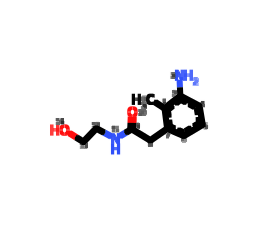 Cc1c(N)cccc1CC(=O)NCCO